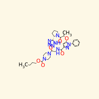 CCCCOC(=O)N1CCN(C(=O)CNC(=O)c2cc(O[C@H](C)C(=O)N3CCC[C@H]3c3nnn[nH]3)n(-c3ccccc3)n2)CC1